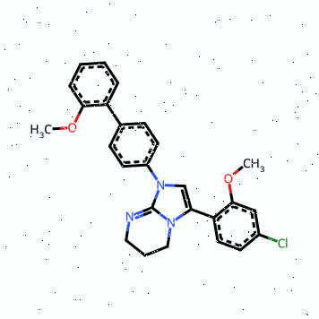 COc1cc(Cl)ccc1C1=CN(c2ccc(-c3ccccc3OC)cc2)C2=NCCCN12